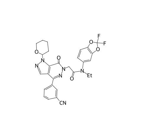 CCN(C(=O)Cn1nc(-c2cccc(C#N)c2)c2cnn(C3CCCCO3)c2c1=O)c1ccc2c(c1)OC(F)(F)O2